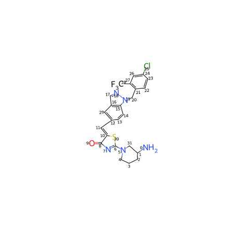 NC1CCCN(C2=NC(=O)/C(=C/c3ccc4c(cnn4Cc4ccc(Cl)cc4C(F)(F)F)c3)S2)C1